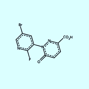 O=C(O)c1ccc(=O)n(-c2cc(Br)cnc2F)n1